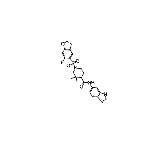 CC1(C)CN(S(=O)(=O)c2cc3c(cc2F)OCC3)CCC1C(=O)Nc1ccc2scnc2c1